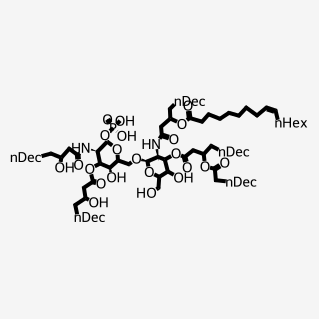 CCCCCC/C=C\CCCCCCCC(=O)OC(CCCCCCCCCCC)CC(=O)N[C@H]1C(OC(=O)CC(CCCCCCCCCCC)OC(=O)CCCCCCCCCCC)C(O)C(CO)O[C@H]1OCC1OC(OP(=O)(O)O)[C@@H](NC(=O)CC(O)CCCCCCCCCCC)C(OC(=O)CC(O)CCCCCCCCCCC)[C@@H]1O